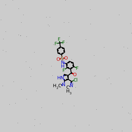 C=Nc1[nH]cc(C(=O)c2c(F)ccc(NS(=O)(=O)c3ccc(C(F)(F)F)cc3)c2F)c1/C(Cl)=N\C